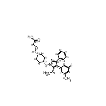 CSc1c(-c2cc(C)cc(F)c2)c(-c2ccccc2)nn1C[C@H]1CC[C@@H](COCC(=O)O)CC1